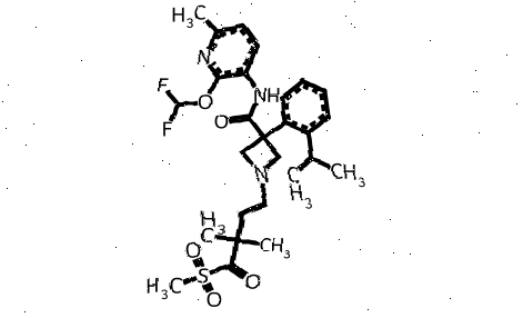 Cc1ccc(NC(=O)C2(c3ccccc3C(C)C)CN(CCC(C)(C)C(=O)S(C)(=O)=O)C2)c(OC(F)F)n1